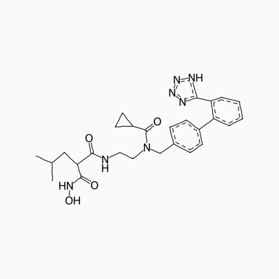 CC(C)CC(C(=O)NO)C(=O)NCCN(Cc1ccc(-c2ccccc2-c2nnn[nH]2)cc1)C(=O)C1CC1